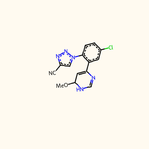 COC1C=C(c2cc(Cl)ccc2-n2cc(C#N)nn2)N=CN1